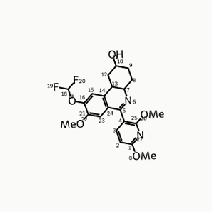 COc1ccc(C2=NC3CCC(O)CC3c3cc(OC(F)F)c(OC)cc32)c(OC)n1